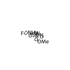 COc1cccc(-n2c(SCC(=O)Nc3ccc(F)cc3)nnc2-c2ccccn2)c1